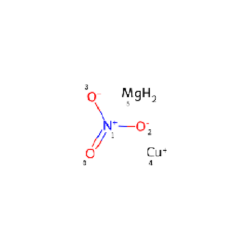 O=[N+]([O-])[O-].[Cu+].[MgH2]